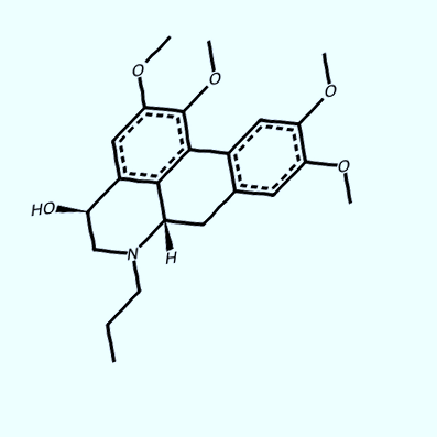 CCCN1C[C@@H](O)c2cc(OC)c(OC)c3c2[C@@H]1Cc1cc(OC)c(OC)cc1-3